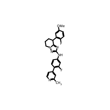 COc1ccc(F)c(C2CCCn3nc(Nc4ccc(-c5ccnc(C)c5)c(F)c4)nc32)c1